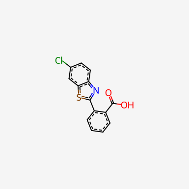 O=C(O)c1ccccc1-c1nc2ccc(Cl)cc2s1